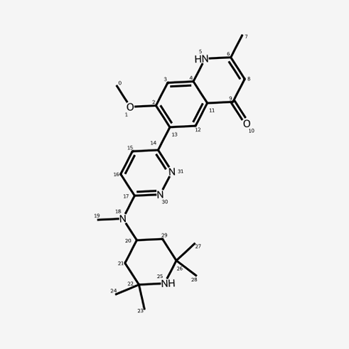 COc1cc2[nH]c(C)cc(=O)c2cc1-c1ccc(N(C)C2CC(C)(C)NC(C)(C)C2)nn1